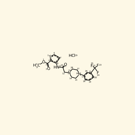 COC(=O)c1sccc1NC(=O)CN1CCN(c2cccc(C(F)(F)F)c2)CC1.Cl